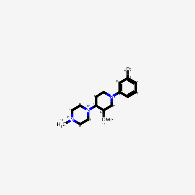 CCc1cc[c]c(N2CCC(N3CCN(C)CC3)C(OC)C2)c1